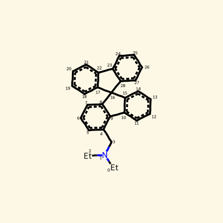 CCN(CC)Cc1cccc2c1-c1ccccc1C21c2ccccc2-c2ccccc21